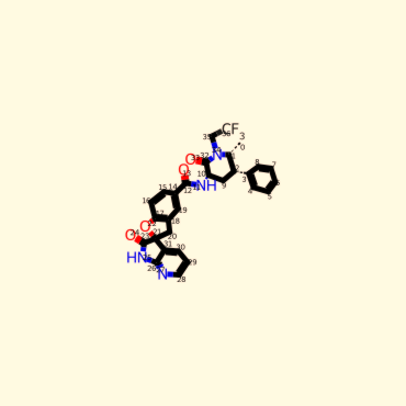 C[C@@H]1[C@H](c2ccccc2)C[C@H](NC(=O)c2ccc3c(c2)CC2(O3)C(=O)Nc3ncccc32)C(=O)N1CC(F)(F)F